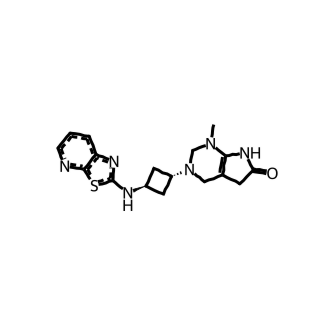 CN1CN([C@H]2C[C@H](Nc3nc4cccnc4s3)C2)CC2=C1NC(=O)C2